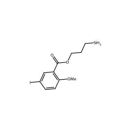 COc1ccc(I)cc1C(=O)OCCC[SiH3]